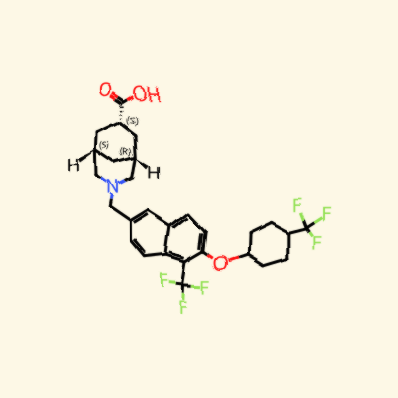 O=C(O)[C@@H]1C[C@H]2C[C@@H](C1)CN(Cc1ccc3c(C(F)(F)F)c(OC4CCC(C(F)(F)F)CC4)ccc3c1)C2